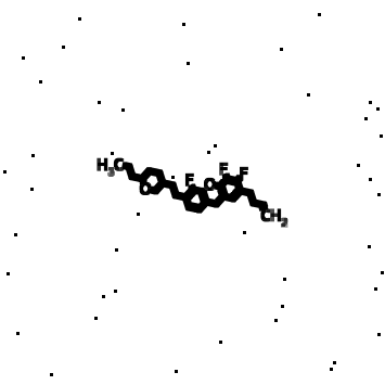 C=CCCc1cc2c(c(F)c1F)Oc1c(ccc(CCC3CCC(CCC)OC3)c1F)C2